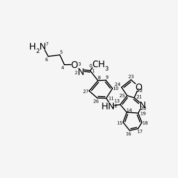 CC(=NOCCCN)c1ccc(Nc2c3ccccc3nc3occc23)cc1